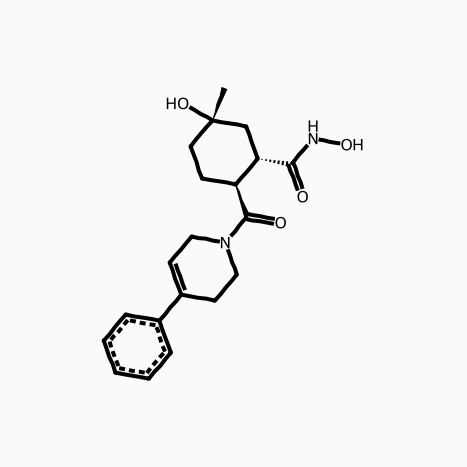 C[C@]1(O)CC[C@H](C(=O)N2CC=C(c3ccccc3)CC2)[C@@H](C(=O)NO)C1